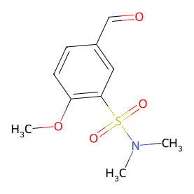 COc1ccc(C=O)cc1S(=O)(=O)N(C)C